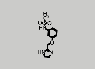 CS(=O)(=O)Nc1cccc(OCC2=NCCN2)c1